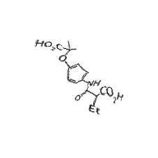 CCC(C(=O)O)C(=O)Nc1ccc(OC(C)(C)C(=O)O)cc1